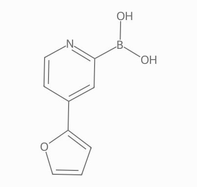 OB(O)c1cc(-c2ccco2)ccn1